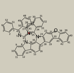 c1ccc(-c2nc(-n3c4ccccc4c4ccc5c6cc7c(cc6n(-c6cccc8ccccc68)c5c43)oc3ccccc37)nc3ccccc23)cc1